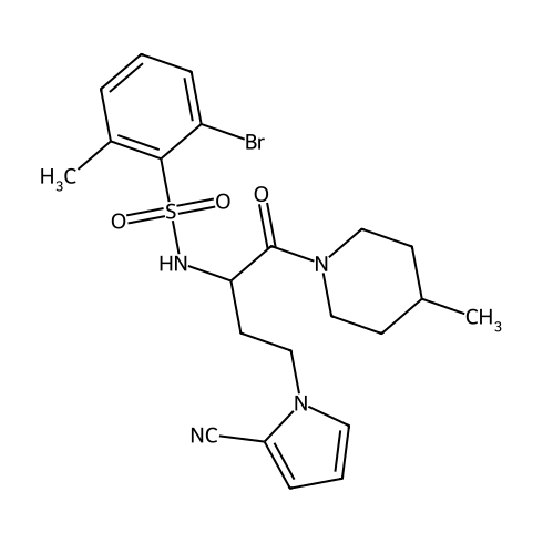 Cc1cccc(Br)c1S(=O)(=O)NC(CCn1cccc1C#N)C(=O)N1CCC(C)CC1